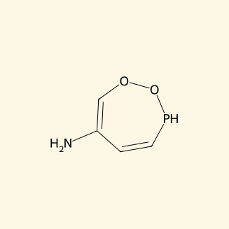 Nc1cc[pH]ooc1